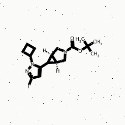 CC(C)(C)OC(=O)N1C[C@@H]2C(c3cc(I)nn3C3CCC3)[C@@H]2C1